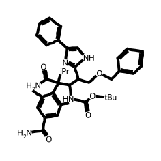 Cc1cc(C(N)=O)cc(C)c1C(C(N)=O)(C(C)C)C(NC(=O)OC(C)(C)C)C(COCc1ccccc1)c1nc(-c2ccccc2)c[nH]1